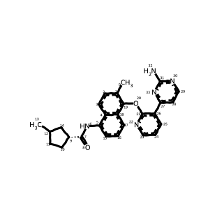 Cc1ccc2c(NC(=O)[C@@H]3CCC(C)C3)cccc2c1Oc1ncccc1-c1ccnc(N)n1